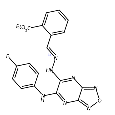 CCOC(=O)c1ccccc1/C=N/Nc1nc2nonc2nc1Nc1ccc(F)cc1